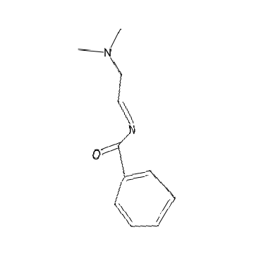 CN(C)C/C=N/C(=O)c1ccccc1